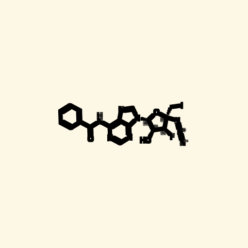 [N-]=[N+]=N[C@]1(CI)O[C@@H](n2cnc3c(NC(=O)c4ccccc4)ncnc32)[C@H](O)[C@@H]1F